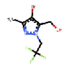 Cc1nn(CC(F)(F)F)c(CO)c1Br